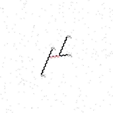 C=CC=CCCCCCCCCC(CCCCC)OCOCOC(CCCCC)CCCCCCCCC=CC=C